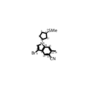 CS[C@@H]1CC[C@@H](n2cc(Br)c3cc(C#N)c(C)cc32)C1